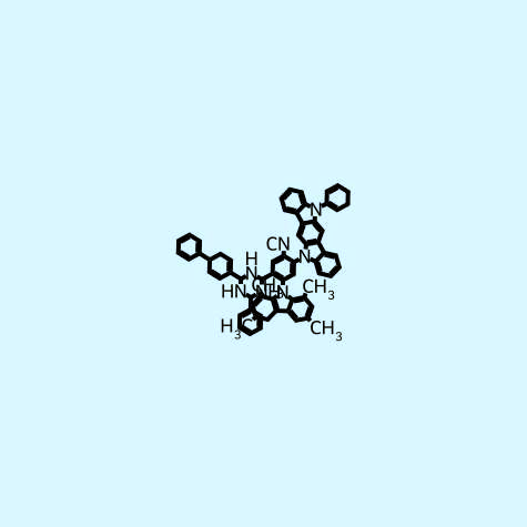 CC1=CC(C)Cc2c1n(-c1cc(-n3c4ccccc4c4cc5c(cc43)c3ccccc3n5C3=CCCC=C3)c(C#N)cc1C1NC(C3=CCC(c4ccccc4)C=C3)NC(c3ccccc3)N1)c1c(C)cc(C)cc21